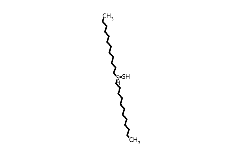 CCCCCCCCCCCC[SH](S)CCCCCCCCCCCC